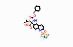 CC(C)(C)CC(NC(=O)OCc1ccccc1)(C(=O)O)c1ccc2nc(OS(=O)(=O)C(F)(F)F)ccc2c1